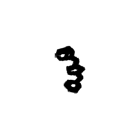 C1=C(Cc2ccccc2)CC(CC2C3CC4CC2CN(C4)C3)=C1